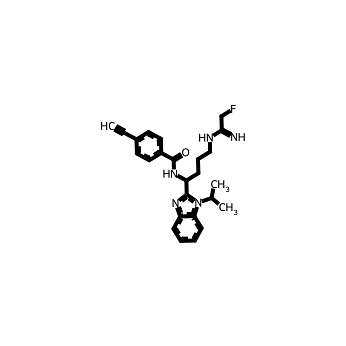 C#Cc1ccc(C(=O)NC(CCCNC(=N)CF)c2nc3ccccc3n2C(C)C)cc1